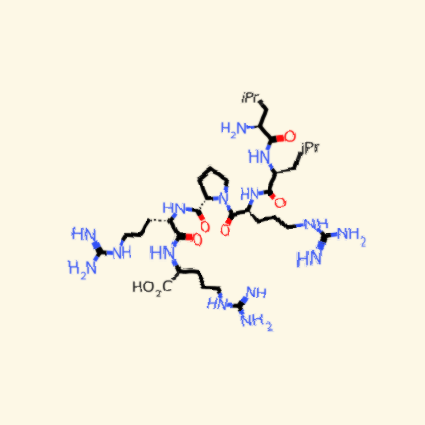 CC(C)C[C@H](NC(=O)[C@@H](N)CC(C)C)C(=O)N[C@@H](CCCNC(=N)N)C(=O)N1CCC[C@H]1C(=O)N[C@@H](CCCNC(=N)N)C(=O)N[C@@H](CCCNC(=N)N)C(=O)O